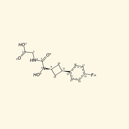 O=C(O)CNC(=O)N(O)[C@H]1C[C@@H](c2ccc(F)cc2)C1